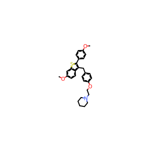 COc1ccc(-c2sc3cc(OC)ccc3c2Cc2ccc(OCCN3CCCCC3)cc2)cc1